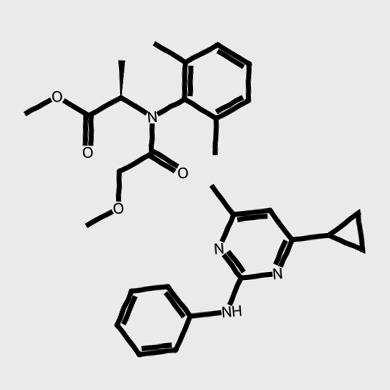 COCC(=O)N(c1c(C)cccc1C)[C@H](C)C(=O)OC.Cc1cc(C2CC2)nc(Nc2ccccc2)n1